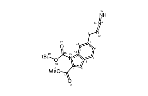 COC(=O)c1cc2ccc(CN=[N+]=N)cc2n1C(=O)OC(C)(C)C